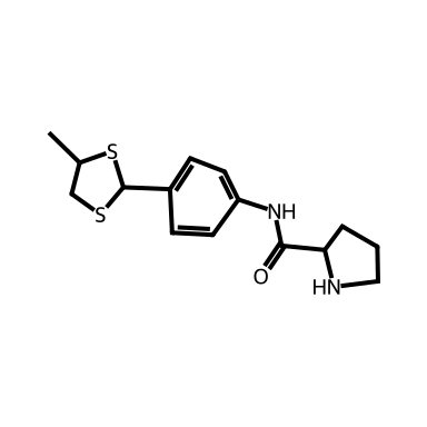 CC1CSC(c2ccc(NC(=O)C3CCCN3)cc2)S1